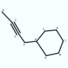 CC#CCC1CC[CH]CC1